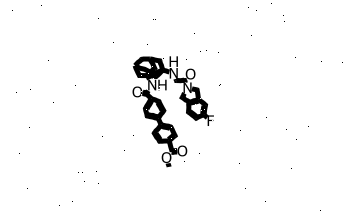 COC(=O)c1ccc(-c2ccc(C(=O)NC34CC5CC(CC(NCC(=O)N6Cc7ccc(F)cc7C6)(C5)C3)C4)cc2)cc1